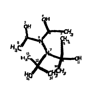 CC(O)N(C(C)O)N(C(C)(C)O)C(C)(C)O